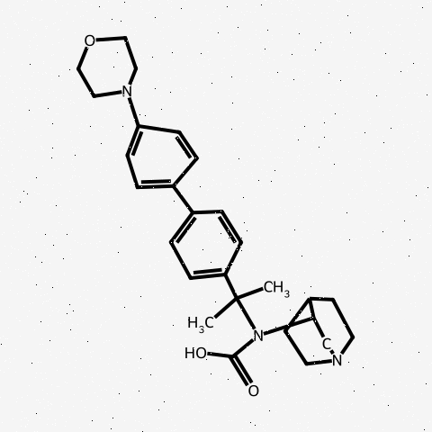 CC(C)(c1ccc(-c2ccc(N3CCOCC3)cc2)cc1)N(C(=O)O)C1CN2CCC1CC2